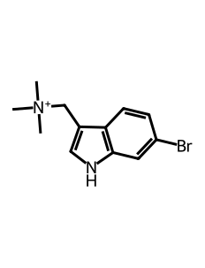 C[N+](C)(C)Cc1c[nH]c2cc(Br)ccc12